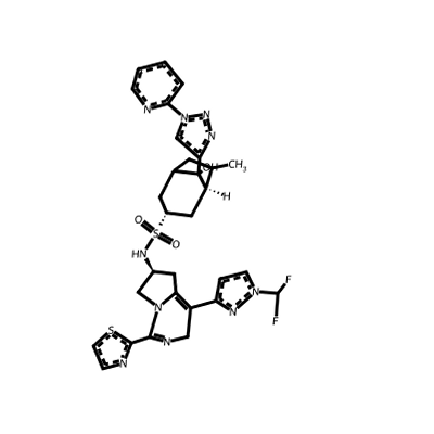 CC1CC2C[C@@H](S(=O)(=O)N[C@H]3CC4=C(c5ccn(C(F)F)n5)CN=C(c5nccs5)N4C3)C[C@H]1C2(O)c1cn(-c2ccccn2)nn1